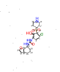 O=C(Nc1ccc(Cl)c(S(=O)(=O)C2CCNCC2)c1O)NC1CCCc2ccoc21